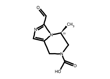 C[C@H]1CN(C(=O)O)Cc2cnc(C=O)n21